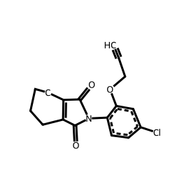 C#CCOc1cc(Cl)ccc1N1C(=O)C2=C(CCCC2)C1=O